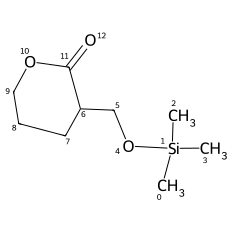 C[Si](C)(C)OCC1CCCOC1=O